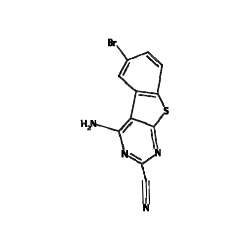 N#Cc1nc(N)c2c(n1)sc1ccc(Br)cc12